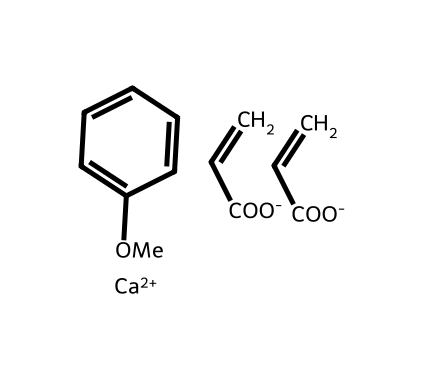 C=CC(=O)[O-].C=CC(=O)[O-].COc1ccccc1.[Ca+2]